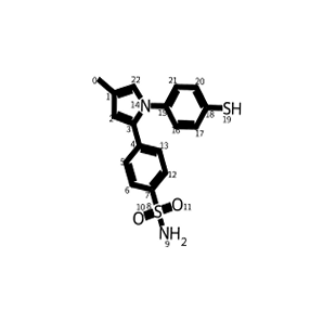 Cc1cc(-c2ccc(S(N)(=O)=O)cc2)n(-c2ccc(S)cc2)c1